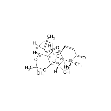 C=C1C(=O)[C@@]23[C@@H]4OC(C)(C)OC25OC[C@]2(C=CC(=O)[C@@](C)(CC)[C@H]2[C@@H]5O)[C@@H]3CC[C@@H]14